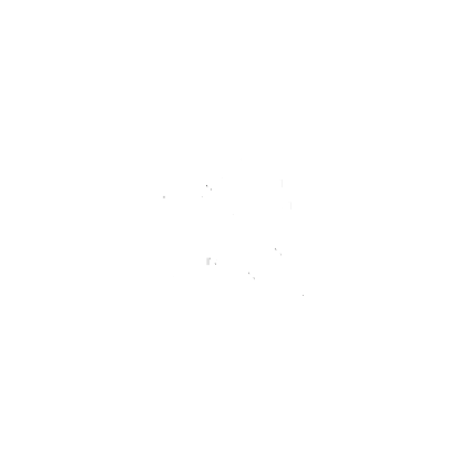 Cc1c(CC(C)N)sc2c(NCc3ccco3)nc(C3CC3)nc12.Cl.Cl